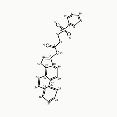 O=C(CCS(=O)(=O)c1ccccc1)OC1=CCc2c1ccc1c2ccc2ccccc21